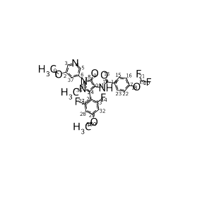 COc1cncc(-n2c(=O)c(NC(=O)c3ccc(OC(F)F)cc3)c(-c3c(F)cc(OC)cc3F)n2C)c1